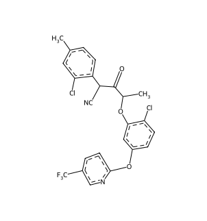 Cc1ccc(C(C#N)C(=O)C(C)Oc2cc(Oc3ccc(C(F)(F)F)cn3)ccc2Cl)c(Cl)c1